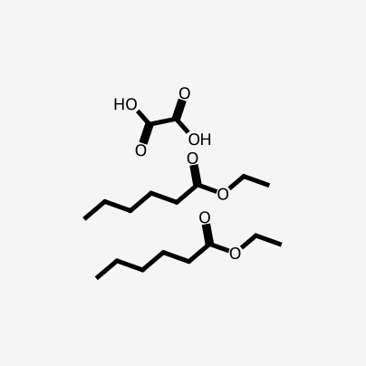 CCCCCC(=O)OCC.CCCCCC(=O)OCC.O=C(O)C(=O)O